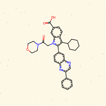 O=C(O)c1ccc2c(C3CCCCC3)c(-c3ccc4nc(-c5ccccc5)cnc4c3)n(CC(=O)N3CCOCC3)c2c1